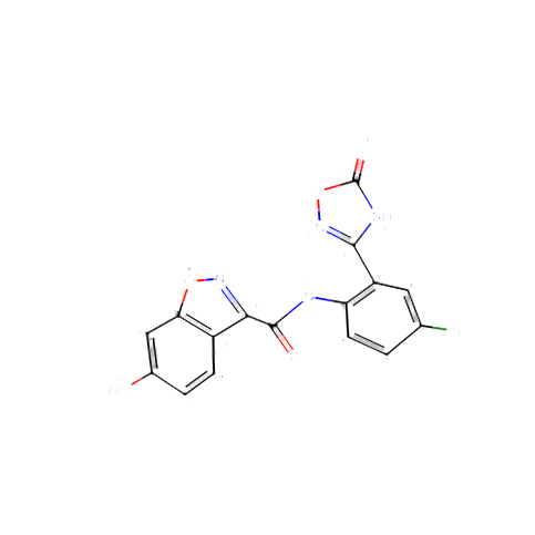 O=C(Nc1ccc(Cl)cc1-c1noc(=O)[nH]1)c1noc2cc(O)ccc12